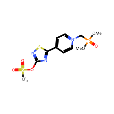 COP(=O)(C[n+]1ccc(-c2nc(OS(=O)(=O)C(F)(F)F)ns2)cc1)OC